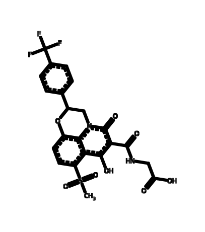 CS(=O)(=O)c1ccc2c3c1c(O)c(C(=O)NCC(=O)O)c(=O)n3CC(c1ccc(C(F)(F)F)cc1)O2